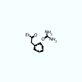 CCC(=O)Cc1ccccc1.NC(N)=O